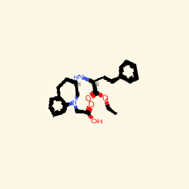 CCOC(=O)[C@H](CCc1ccccc1)N[C@H]1CCc2ccccc2N(CC(=O)O)C1